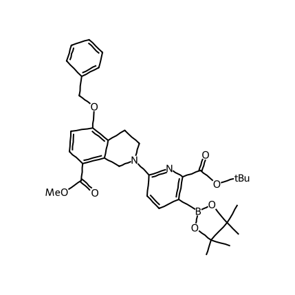 COC(=O)c1ccc(OCc2ccccc2)c2c1CN(c1ccc(B3OC(C)(C)C(C)(C)O3)c(C(=O)OC(C)(C)C)n1)CC2